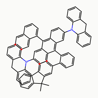 CC1(C)c2ccccc2-c2ccc(-c3ccccc3-c3c4cc(N5c6ccccc6Cc6ccccc65)ccc4c(-c4cccc5ccccc45)c4cc(N5c6ccccc6Cc6ccccc65)ccc34)cc21